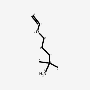 C=COCCCC(C)(C)N